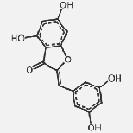 O=C1/C(=C/c2cc(O)cc(O)c2)Oc2cc(O)cc(O)c21